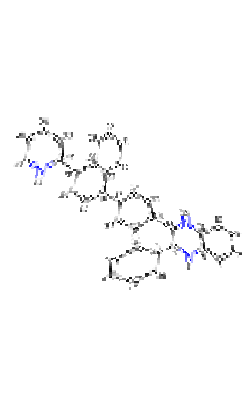 c1ccc(-c2nc3ccccc3nc2-c2ccc(-c3ccc(-c4ccccn4)c4ccccc34)cc2)cc1